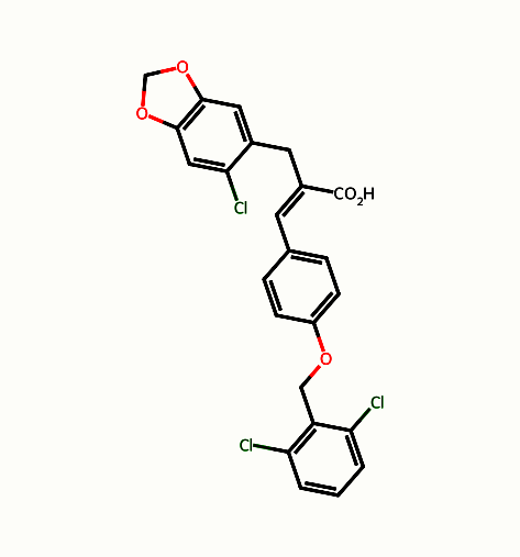 O=C(O)C(=Cc1ccc(OCc2c(Cl)cccc2Cl)cc1)Cc1cc2c(cc1Cl)OCO2